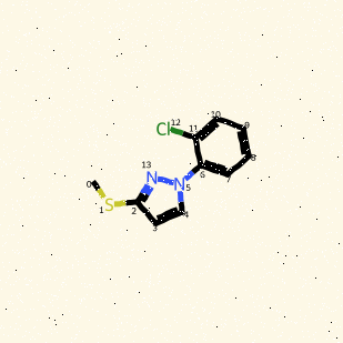 CSc1ccn(-c2ccccc2Cl)n1